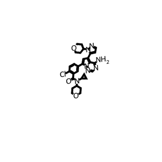 Nc1ncnn2c(-c3ccc(Cl)c(C(=O)N(C4CCOCC4)C4CC4)c3)cc(-c3ccnn3C3CCOCC3)c12